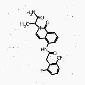 CC(C(N)=O)n1ccc2c(NC(=O)Cc3c(F)cccc3C(F)(F)F)cccc2c1=O